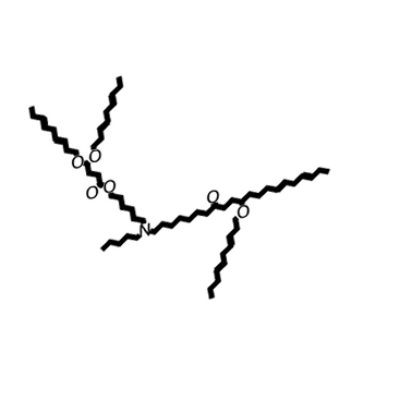 CC/C=C/C/C=C/CCCC(CCC(=O)CCCCCCCN(CCCCC)CCCCCCOC(=O)CCC(OCC/C=C/C/C=C/CC)OCC/C=C/C/C=C/CC)OCC/C=C/C/C=C/CCC